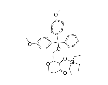 CC[Si](CC)(CC)O[C@H]1C(=O)CCO[C@@H]1COC(c1ccccc1)(c1ccc(OC)cc1)c1ccc(OC)cc1